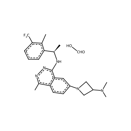 Cc1c([C@@H](C)Nc2nnc(C)c3ccc(N4CC(N(C)C)C4)cc23)cccc1C(F)(F)F.O=CO